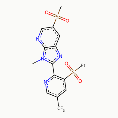 CCS(=O)(=O)c1cc(C(F)(F)F)cnc1-c1nc2cc(S(C)(=O)=O)cnc2n1C